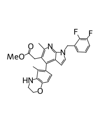 COC(=O)Cc1c(C)nc2c(ccn2Cc2cccc(F)c2F)c1-c1ccc2c(c1C)NCCO2